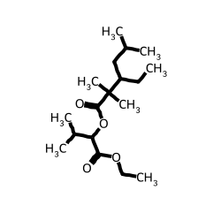 CCOC(=O)C(OC(=O)C(C)(C)C(CC)CC(C)C)C(C)C